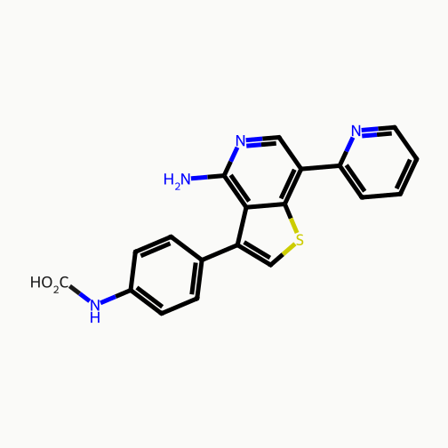 Nc1ncc(-c2ccccn2)c2scc(-c3ccc(NC(=O)O)cc3)c12